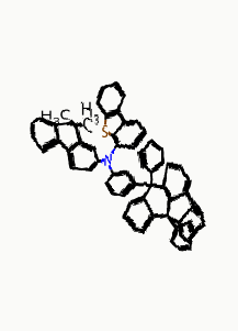 CC1(C)c2ccccc2-c2ccc(N(c3cccc(C4(c5ccccc5)c5ccccc5C5(c6ccccc6)c6ccccc6-c6cccc4c65)c3)c3cccc4c5c(sc34)CCC=C5)cc21